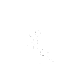 CCOOC1(C)c2cnc(OCc3cc(-c4ccc(OCC5CC(O)(CO)C5)cc4Cl)c(F)cc3F)cc2CC1C.O